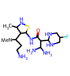 CNC(CCN)C1C(C)NSC1NC(=O)C(C(N)N)C1NCC(F)CN1